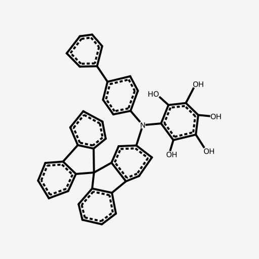 Oc1c(O)c(O)c(N(c2ccc(-c3ccccc3)cc2)c2ccc3c(c2)C2(c4ccccc4-c4ccccc42)c2ccccc2-3)c(O)c1O